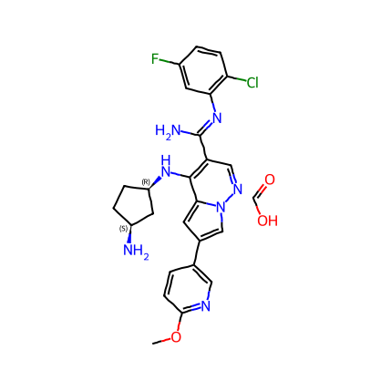 COc1ccc(-c2cc3c(N[C@@H]4CC[C@H](N)C4)c(C(N)=Nc4cc(F)ccc4Cl)cnn3c2)cn1.O=CO